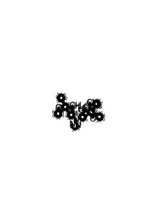 CC1(C)c2cc(N(C3=NCCC=N3)c3ccc4c(c3)C(C)(C)c3c5c(c6c(oc7ccccc76)c3-4)-c3ccccc3C5(C)C)ccc2-c2c1cc(-c1ccccc1)c1oc3ccccc3c21